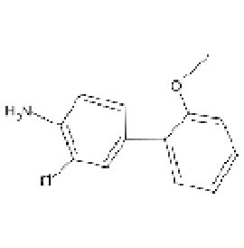 COc1ccccc1-c1ccc(N)c(Cl)c1